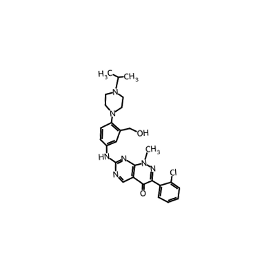 CC(C)N1CCN(c2ccc(Nc3ncc4c(=O)c(-c5ccccc5Cl)nn(C)c4n3)cc2CO)CC1